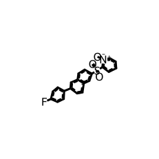 O=S(=O)(c1ccc2cc(-c3ccc(F)cc3)ccc2c1)c1cccc[n+]1[O-]